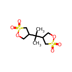 CC(C)(C1COS(=O)(=O)C1)C1COS(=O)(=O)C1